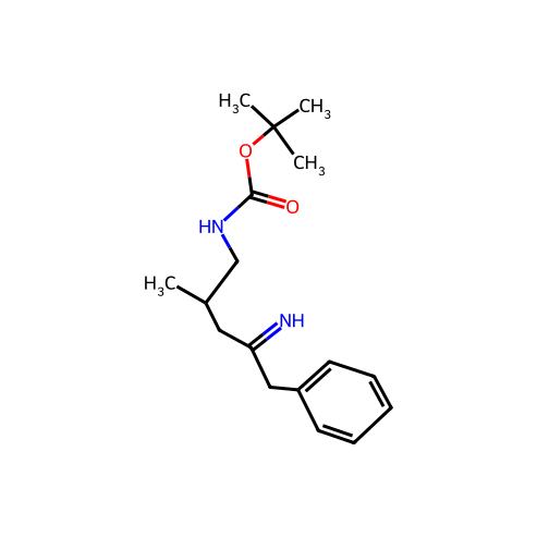 CC(CNC(=O)OC(C)(C)C)CC(=N)Cc1ccccc1